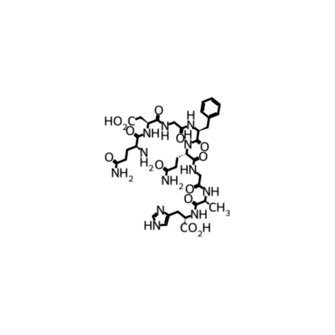 C[C@H](NC(=O)CNC(=O)[C@H](CCC(N)=O)NC(=O)[C@H](Cc1ccccc1)NC(=O)CNC(=O)[C@H](CC(=O)O)NC(=O)[C@@H](N)CCC(N)=O)C(=O)N[C@@H](Cc1c[nH]cn1)C(=O)O